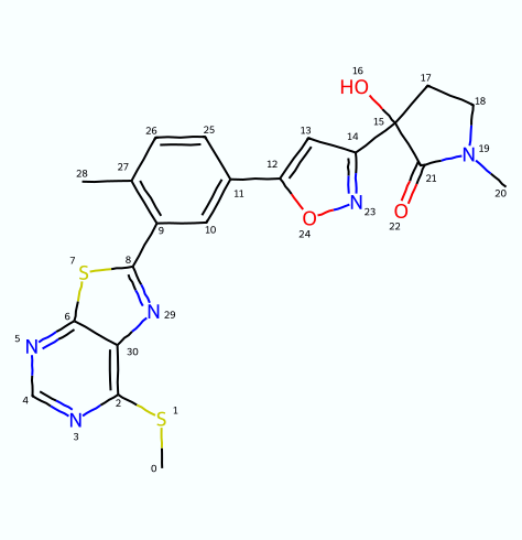 CSc1ncnc2sc(-c3cc(-c4cc(C5(O)CCN(C)C5=O)no4)ccc3C)nc12